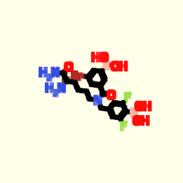 NC(=O)[C@@H](N)CCCCN(Cc1cc(F)c(B(O)O)c(F)c1)C(=O)c1cc(Br)cc(B(O)O)c1